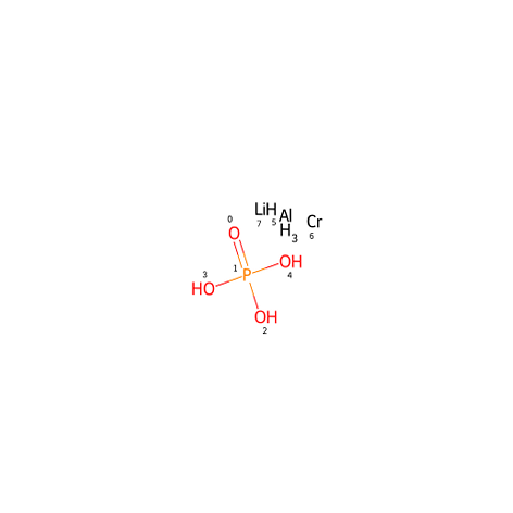 O=P(O)(O)O.[AlH3].[Cr].[LiH]